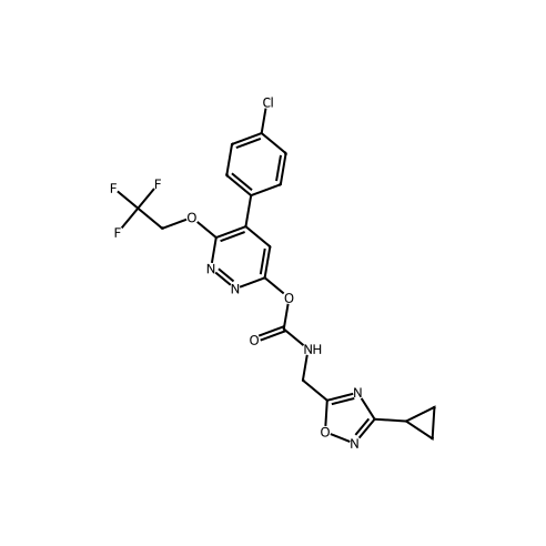 O=C(NCc1nc(C2CC2)no1)Oc1cc(-c2ccc(Cl)cc2)c(OCC(F)(F)F)nn1